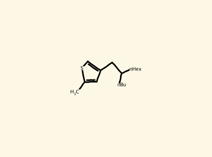 CCCCCCC(CCCC)Cc1csc(C)c1